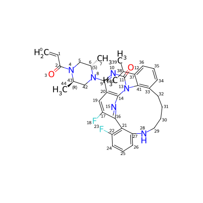 C=CC(=O)N1C[C@H](C)N(c2nc(=O)n3c4nc(c(F)cc24)-c2c(F)cccc2NCCCCc2cccc(C(C)C)c2-3)C[C@H]1C